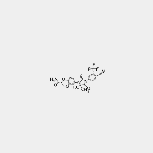 CC1(C)C(=O)N(c2ccc(C#N)c(C(F)(F)F)c2)C(=S)N1c1ccc2c(c1)OC[C@H](C(N)=O)O2